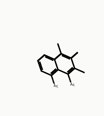 CC(=O)c1cccc2c(C)c(C)c(C)c(C(C)=O)c12